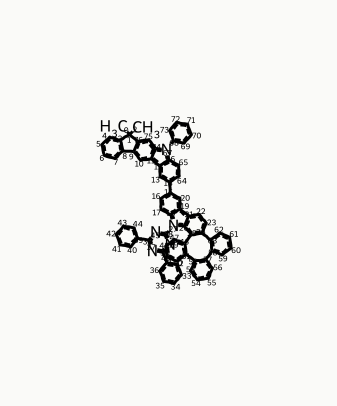 CC1(C)c2ccccc2-c2cc3c4cc(-c5ccc6c(c5)c5ccc7c(c5n6-c5nc(-c6ccccc6)nc(-c6ccccc6)n5)-c5ccccc5-c5ccccc5-c5ccccc5-7)ccc4n(-c4ccccc4)c3cc21